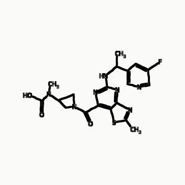 Cc1nc2nc(NC(C)c3cncc(F)c3)nc(C(=O)N3CC(N(C)C(=O)O)C3)c2s1